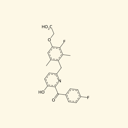 Cc1cc(OCC(=O)O)c(F)c(C)c1Cc1ccc(O)c(C(=O)c2ccc(F)cc2)n1